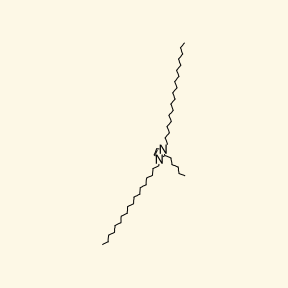 CCCCCCCCCCCCCCCCCCCN1C=CN(CCCCCCCCCCCCCCCCCC)C1CCCCC